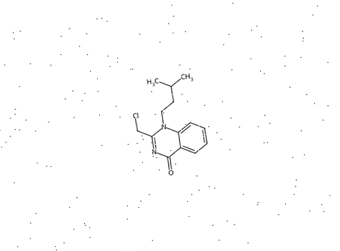 CC(C)CCn1c(CCl)nc(=O)c2ccccc21